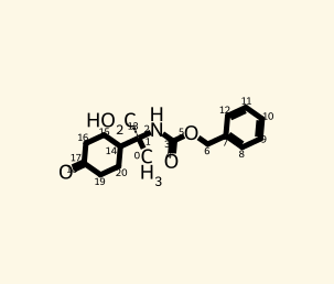 C[C@@](NC(=O)OCc1ccccc1)(C(=O)O)C1CCC(=O)CC1